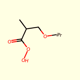 CC(C)OCC(C)C(=O)OO